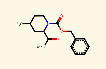 COC(=O)C1CC(C(F)(F)F)CCN1C(=O)OCc1ccccc1